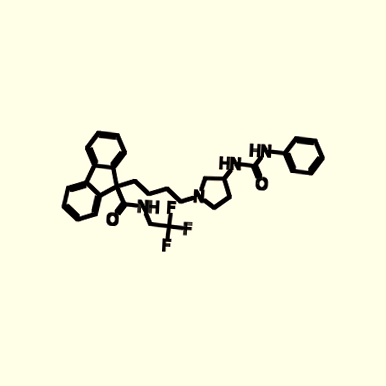 O=C(Nc1ccccc1)NC1CCN(CCCCC2(C(=O)NCC(F)(F)F)c3ccccc3-c3ccccc32)C1